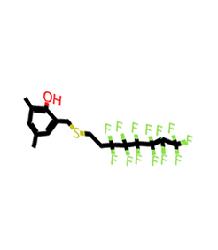 Cc1cc(C)c(O)c(CSCCC(F)(F)C(F)(F)C(F)(F)C(F)(F)C(F)(F)C(F)(F)F)c1